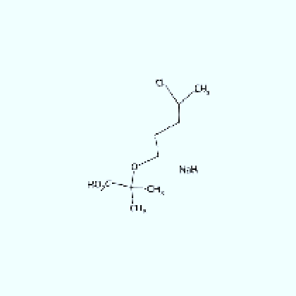 CC(Cl)CCCOC(C)(C)C(=O)O.[NaH]